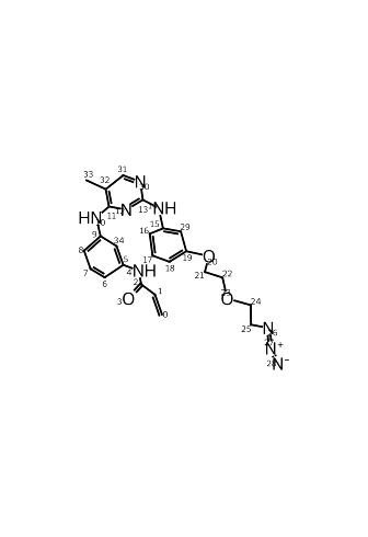 C=CC(=O)Nc1cccc(Nc2nc(Nc3cccc(OCCOCCN=[N+]=[N-])c3)ncc2C)c1